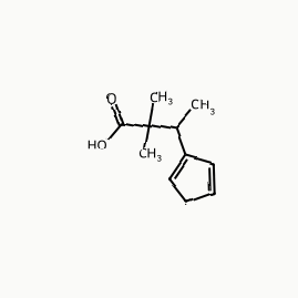 CC(C1=C[CH]C=C1)C(C)(C)C(=O)O